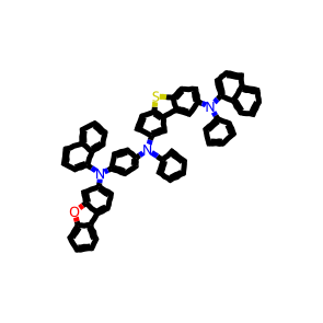 c1ccc(N(c2ccc(N(c3ccc4c(c3)oc3ccccc34)c3cccc4ccccc34)cc2)c2ccc3sc4ccc(N(c5ccccc5)c5cccc6ccccc56)cc4c3c2)cc1